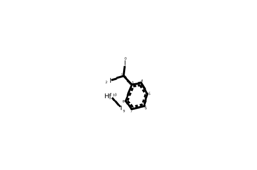 IC(I)c1ccccc1.[I][Hf]